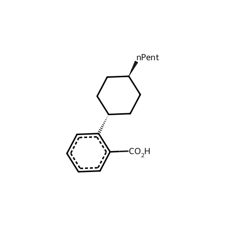 CCCCC[C@H]1CC[C@H](c2ccccc2C(=O)O)CC1